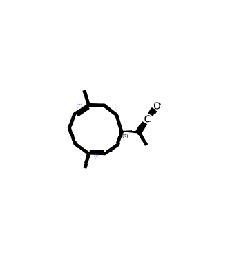 CC(=C=O)[C@H]1C/C=C(/C)CC/C=C(/C)CC1